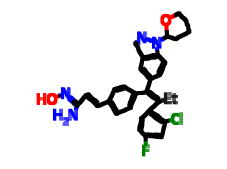 CC/C(=C(/c1ccc(/C=C/C(N)=N/O)cc1)c1ccc2c(cnn2C2CCCCO2)c1)c1ccc(F)cc1Cl